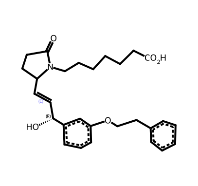 O=C(O)CCCCCCN1C(=O)CCC1/C=C/[C@@H](O)c1cccc(OCCc2ccccc2)c1